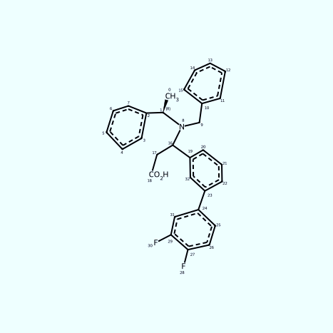 C[C@H](c1ccccc1)N(Cc1ccccc1)C(CC(=O)O)c1cccc(-c2ccc(F)c(F)c2)c1